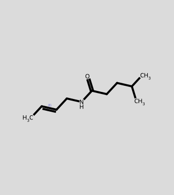 C/C=C/CNC(=O)CCC(C)C